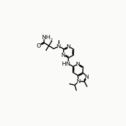 Cc1nc2cnc(Nc3ccnc(N(C)CC(C)(C)C(N)=O)n3)cc2n1C(C)C